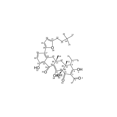 CC(=O)C1=C(O)C(C(C)C)[C@@]2(C)C[C@@]3(C)Cc4c(-c5ccc(CCC(C)(C)C)o5)ccc(O)c4C(=O)C3=C(O)[C@@]2(O)C1=O